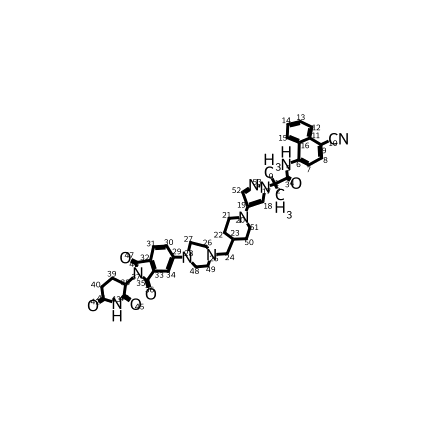 CC(C)(C(=O)Nc1ccc(C#N)c2ccccc12)n1cc(N2CCC(CN3CCN(c4ccc5c(c4)C(=O)N(C4CCC(=O)NC4=O)C5=O)CC3)CC2)cn1